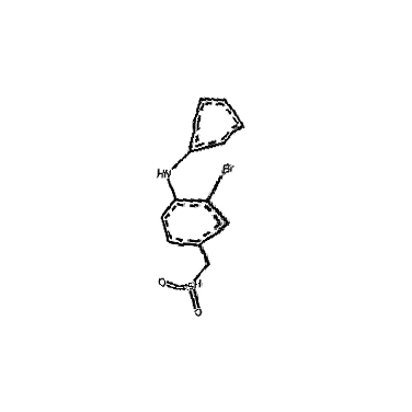 O=[SH](=O)Cc1ccc(Nc2ccccc2)c(Br)c1